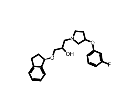 OC(CO[C@@H]1CCc2ccccc21)CN1CCC(Oc2cccc(F)c2)C1